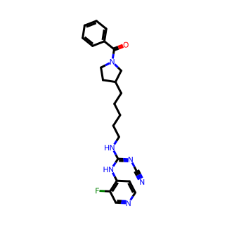 N#CN=C(NCCCCCC1CCN(C(=O)c2ccccc2)C1)Nc1ccncc1F